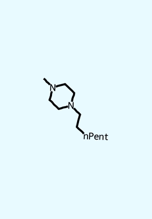 CCCCCCCN1CCN(C)CC1